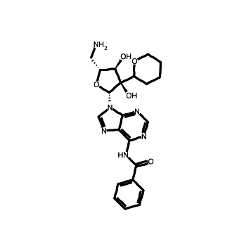 NC[C@H]1O[C@@H](n2cnc3c(NC(=O)c4ccccc4)ncnc32)[C@@](O)(C2CCCCO2)[C@@H]1O